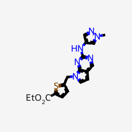 CCOC(=O)c1ccc(Cn2ccc3cnc(Nc4cnn(C)c4)nc32)s1